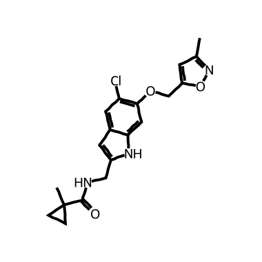 Cc1cc(COc2cc3[nH]c(CNC(=O)C4(C)CC4)cc3cc2Cl)on1